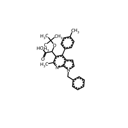 Cc1ccc(-c2c(C(OC(C)(C)C)C(=O)O)c(C)nc3c2ccn3Cc2ccccc2)cc1